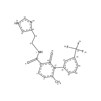 Cc1ccc(C(=O)NCCc2c[nH]cn2)c(=O)n1-c1cccc(C(F)(F)F)c1